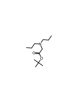 CCCN(CCC)CC(=O)OC(C)(C)C